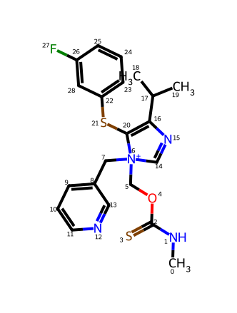 CNC(=S)OC[N+]1(Cc2cccnc2)C=NC(C(C)C)=C1Sc1cccc(F)c1